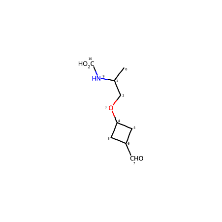 CC(COC1CC(C=O)C1)NC(=O)O